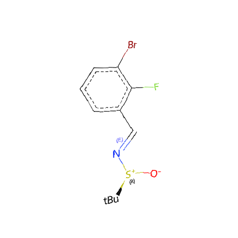 CC(C)(C)[S@+]([O-])/N=C/c1cccc(Br)c1F